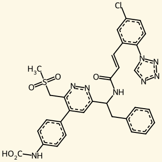 CS(=O)(=O)Cc1nnc(C(Cc2ccccc2)NC(=O)C=Cc2cc(Cl)ccc2-n2cnnn2)cc1-c1ccc(NC(=O)O)cc1